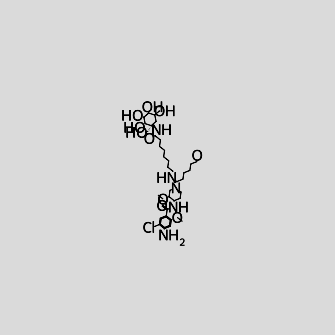 COc1cc(N)c(Cl)cc1C(=O)N[C@@H]1CCN(C(CCCCC=O)NCCCCCCCC(=O)N[C@]2(CO)C[C@H](O)[C@H](O)[C@H](O)[C@H]2O)C[C@@H]1OC